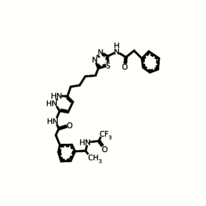 CC(NC(=O)C(F)(F)F)c1cccc(CC(=O)NC2=CC=C(CCCCc3nnc(NC(=O)Cc4ccccc4)s3)NN2)c1